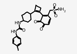 Cc1ccc(NC(=O)NC2CCC(C3=C(C4=C(CS(N)(=O)=O)C=CC(=O)C4=O)CC3)CC2)cc1